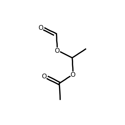 CC(=O)OC(C)OC=O